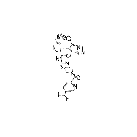 COc1cn2cncc2cc1-c1cc(C)ncc1C(=O)Nc1nc2c(s1)CN(C(=O)c1ccc(C(F)F)cn1)C2